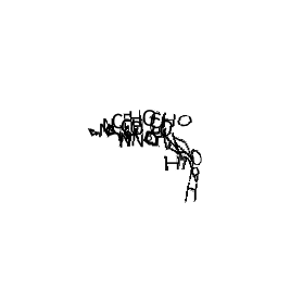 Cn1c(-c2cn(C3CC3)nc2C(F)(F)F)cnc1C(=O)Nc1ccc(C(=O)N2CCN(C(=O)NC3CCNC3)CC2)c(Cl)c1.O=CO